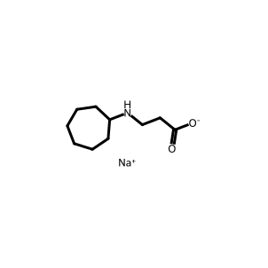 O=C([O-])CCNC1CCCCCC1.[Na+]